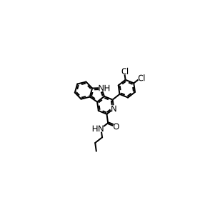 CCCNC(=O)c1cc2c([nH]c3ccccc32)c(-c2ccc(Cl)c(Cl)c2)n1